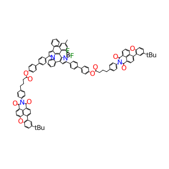 Cc1cc(C)c(/C(=C2/N=C(c3ccc(-c4ccc(OC(=O)CCCc5ccc(-n6c(=O)c7ccc8oc9ccc(C(C)(C)C)cc9c9ccc(c6=O)c7c89)cc5)cc4)cc3)C=C2c2ccccc2)c2c(-c3ccccc3)cc(-c3ccc(-c4ccc(OC(=O)CCCc5ccc(-n6c(=O)c7ccc8oc9ccc(C(C)(C)C)cc9c9ccc(c6=O)c7c89)cc5)cc4)cc3)n2B(F)F)c(C)c1